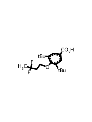 CC(F)(F)CCOc1c(C(C)(C)C)cc(C(=O)O)cc1C(C)(C)C